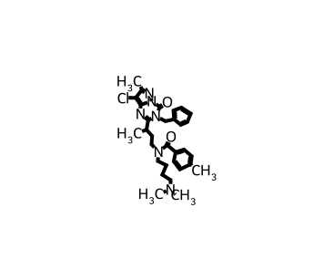 Cc1ccc(C(=O)N(CCCCN(C)C)CCC(C)c2nc3c(Cl)c(C)nn3c(=O)n2Cc2ccccc2)cc1